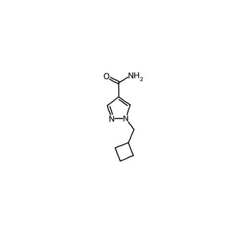 NC(=O)c1cnn(CC2CCC2)c1